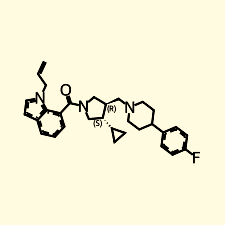 C=CCn1ccc2cccc(C(=O)N3C[C@@H](CN4CCC(c5ccc(F)cc5)CC4)[C@H](C4CC4)C3)c21